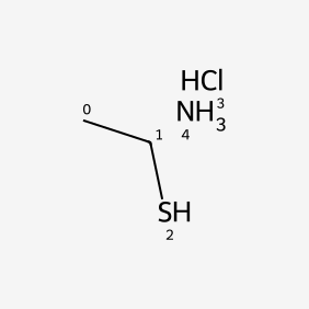 CCS.Cl.N